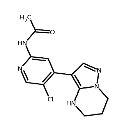 CC(=O)Nc1cc(-c2cnn3c2NCCC3)c(Cl)cn1